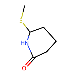 CSC1CCCC(=O)N1